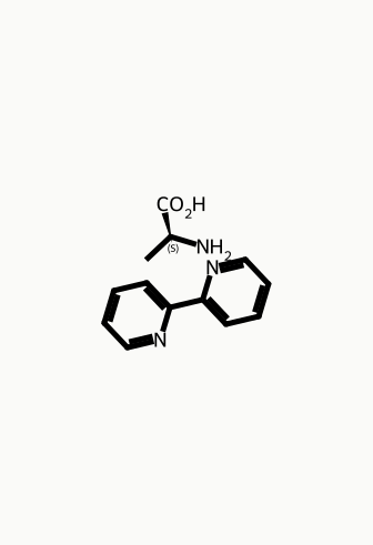 C[C@H](N)C(=O)O.c1ccc(-c2ccccn2)nc1